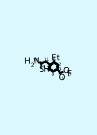 CCc1cc(C(=O)OF)ccc1CC(N)S